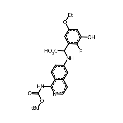 CCOc1cc(O)c(F)c(C(Nc2ccc3c(NC(=O)OC(C)(C)C)nccc3c2)C(=O)O)c1